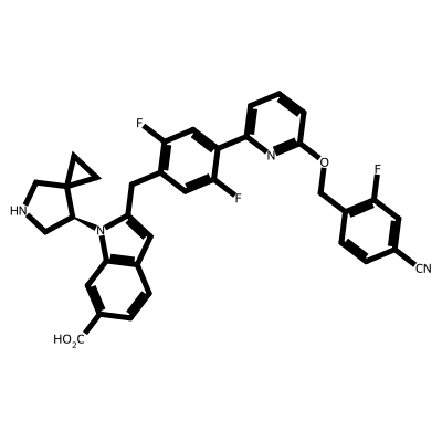 N#Cc1ccc(COc2cccc(-c3cc(F)c(Cc4cc5ccc(C(=O)O)cc5n4[C@H]4CNCC45CC5)cc3F)n2)c(F)c1